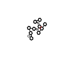 c1ccc(-c2ccc(-c3ccccc3N(c3ccc(-c4ccccc4-c4ccc5c(c4)oc4ccccc45)cc3)c3cccc(-n4c5ccccc5c5ccccc54)c3)cc2)cc1